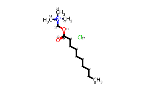 CCCCCCCCCC(=O)OC[N+](C)(C)C.[Cl-]